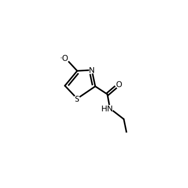 CCNC(=O)c1nc([O])cs1